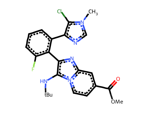 COC(=O)c1ccn2c(NC(C)(C)C)c(-c3c(F)cccc3-c3ncn(C)c3Cl)nc2c1